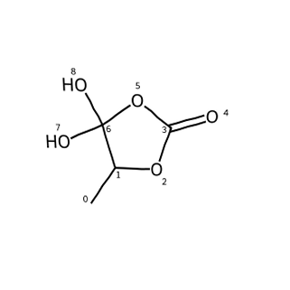 CC1OC(=O)OC1(O)O